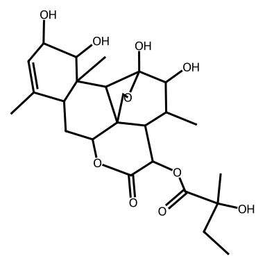 CCC(C)(O)C(=O)OC1C(=O)OC2CC3C(C)=CC(O)C(O)C3(C)C3C4(O)OCC23C1C(C)C4O